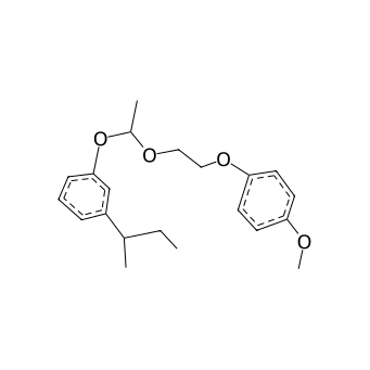 CCC(C)c1cccc(OC(C)OCCOc2ccc(OC)cc2)c1